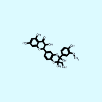 COc1cc(C2(O)Oc3cc(C4Oc5cc(O)cc(O)c5C(=O)C4O)ccc3OC2(O)CO)ccc1O